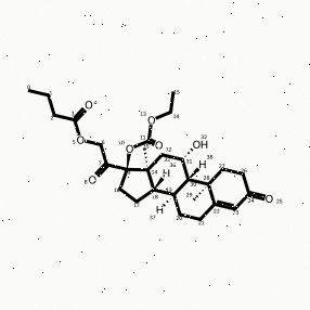 CCCC(=O)OCC(=O)[C@@]1(OC(=O)OCC)CC[C@H]2[C@@H]3CCC4=CC(=O)CC[C@]4(C)[C@H]3[C@@H](O)C[C@@]21C